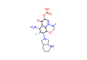 CN1COc2c(N3CC4CCCNC4C3)c(F)c(N)c3c(=O)c(OC(=O)O)cn1c23